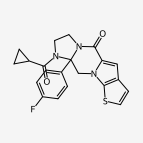 O=C1c2cc3ccsc3n2CC2(c3ccc(F)cc3)N1CCN2C(=O)C1CC1